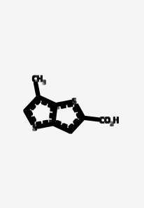 Cc1csc2cc(C(=O)O)sc12